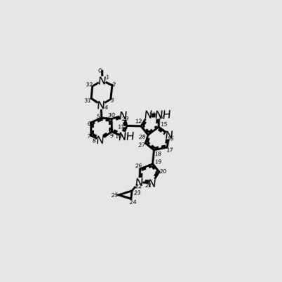 CN1CCN(c2ccnc3[nH]c(-c4n[nH]c5ncc(-c6cnn(C7CC7)c6)cc45)nc23)CC1